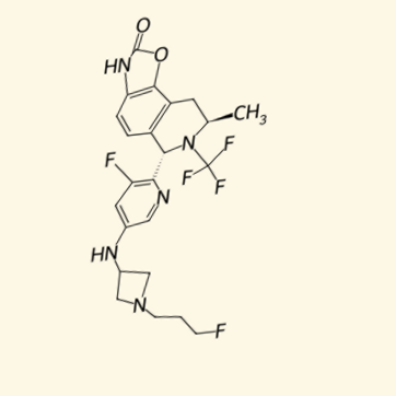 C[C@@H]1Cc2c(ccc3[nH]c(=O)oc23)[C@@H](c2ncc(NC3CN(CCCF)C3)cc2F)N1C(F)(F)F